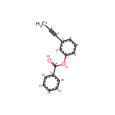 CC#Cc1cccc(OC(=O)c2ccccc2)c1